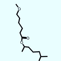 COCCCCCC(=O)OC(C)CCCC(C)C